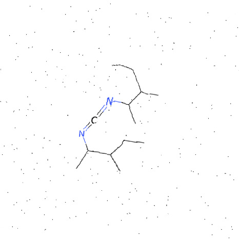 CCC(C)C(C)N=C=NC(C)C(C)CC